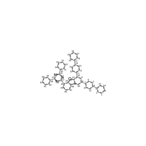 c1ccc(-c2ccc(-c3cc(-c4ccc(-c5ccccc5)cc4)c4oc5c(-c6nc(-c7ccccc7)nc(-c7ccccc7)n6)cccc5c4c3)cc2)cc1